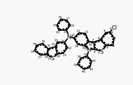 Clc1ccc2sc3c(c2c1)c1ccc(N(c2ccccc2)c2ccc4sc5ccccc5c4c2)cc1n3-c1ccccc1